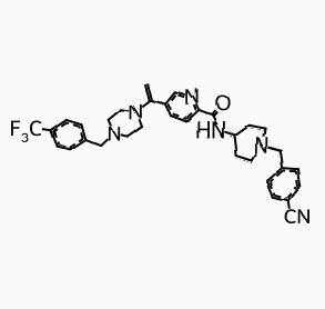 C=C(c1ccc(C(=O)NC2CCN(Cc3ccc(C#N)cc3)CC2)nc1)N1CCN(Cc2ccc(C(F)(F)F)cc2)CC1